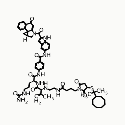 C=C(C)[C@H](NCCNC(=O)CCCN1C(=O)CC(SC(C)(C)C2CCCCCCC2)C1=O)C(=O)N[C@@H](CCCNC(N)=O)C(=O)Nc1ccc(C(=O)Nc2ccc3[nH]c(C(=O)N4C[C@H]5CC56C4=CC(=O)c4ccccc46)cc3c2)cc1